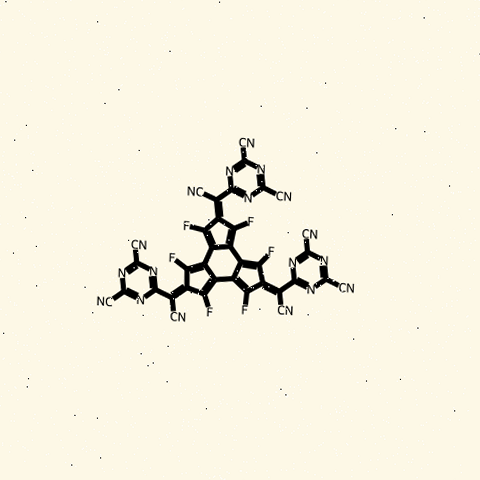 N#CC(=C1C(F)=c2c3c(c4c(c2=C1F)=C(F)C(=C(C#N)c1nc(C#N)nc(C#N)n1)C=4F)=C(F)C(=C(C#N)c1nc(C#N)nc(C#N)n1)C=3F)c1nc(C#N)nc(C#N)n1